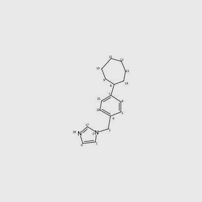 c1cn(Cc2ccc(C3CCCCCC3)cc2)cn1